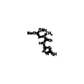 COC(CN(C)C(=O)Nc1nnc(S)s1)OC